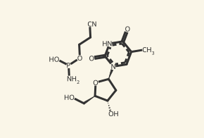 Cc1cn([C@H]2C[C@H](O)[C@@H](CO)O2)c(=O)[nH]c1=O.N#CCCOP(N)O